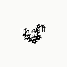 CNC(=O)C1CCN(Cc2ncc(-c3cccc(-c4cccc(-c5cnc(CC6CCN(C(=O)NC)C6)c(OC)n5)c4Cl)c3Cl)nc2OC)C1